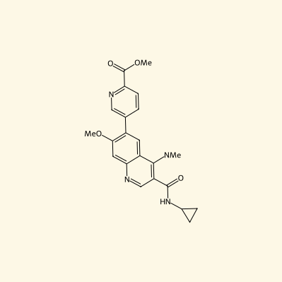 CNc1c(C(=O)NC2CC2)cnc2cc(OC)c(-c3ccc(C(=O)OC)nc3)cc12